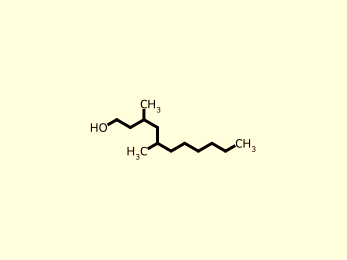 CCCCCCC(C)CC(C)CCO